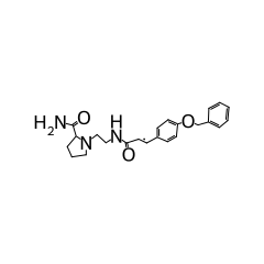 NC(=O)C1CCCN1CCNC(=O)[CH]Cc1ccc(OCc2ccccc2)cc1